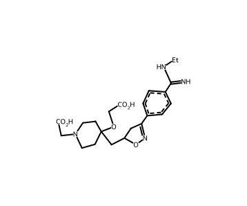 CCNC(=N)c1ccc(C2=NOC(CC3(OCC(=O)O)CCN(CC(=O)O)CC3)C2)cc1